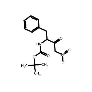 CC(C)(C)OC(=O)NC(Cc1ccccc1)C(=O)C[N+](=O)[O-]